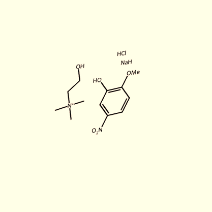 COc1ccc([N+](=O)[O-])cc1O.C[N+](C)(C)CCO.Cl.[NaH]